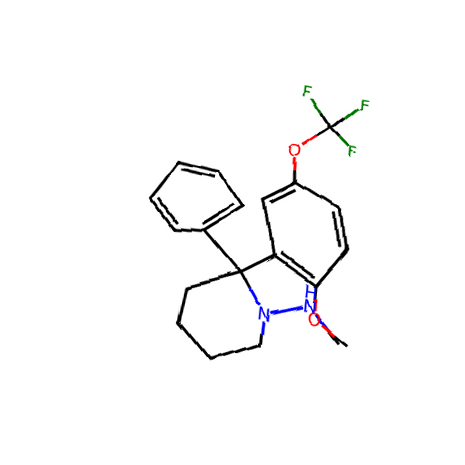 CNN1CCCCC1(c1ccccc1)c1cc(OC(F)(F)F)ccc1OC